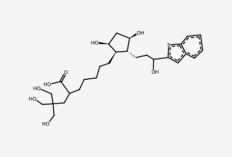 O=C(O)C(CCCCC[C@@H]1[C@@H](CCC(O)c2cc3ccccc3s2)[C@H](O)C[C@@H]1O)CC(CO)(CO)CO